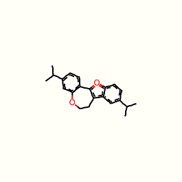 CC(C)c1ccc2c(c1)OCCc1c-2oc2ccc(C(C)C)cc12